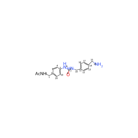 CC(=O)NCc1ccc(NC(=O)NCc2ccc(CN)cc2)cc1